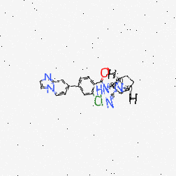 N#CN1[C@H]2CC[C@@H]1[C@H](NC(=O)c1ccc(-c3ccn4ccnc4c3)cc1Cl)C2